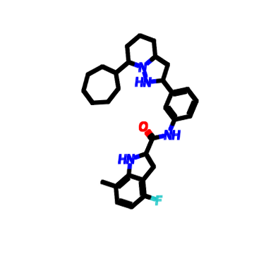 Cc1ccc(F)c2c1NC(C(=O)Nc1cccc(C3CC4CCCC(C5CCCCCC5)N4N3)c1)C2